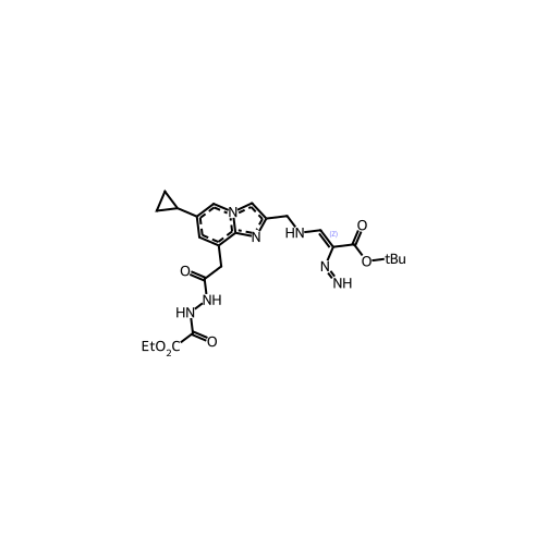 CCOC(=O)C(=O)NNC(=O)Cc1cc(C2CC2)cn2cc(CN/C=C(\N=N)C(=O)OC(C)(C)C)nc12